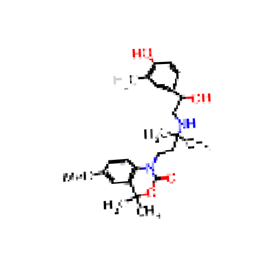 COc1ccc2c(c1)C(C)(C)OC(=O)N2CCC(C)(C)NCC(O)c1ccc(O)c(C)c1